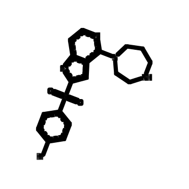 O=S(=O)(c1ccc(Br)cc1)c1cc2c(N3CCCNCC3)nccc2s1